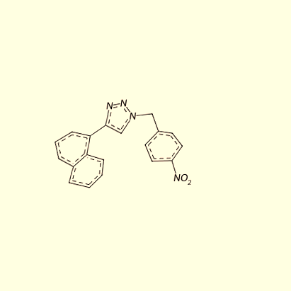 O=[N+]([O-])c1ccc(Cn2cc(-c3cccc4ccccc34)nn2)cc1